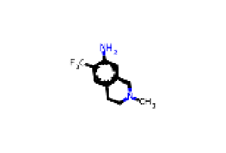 CN1CCc2cc(C(F)(F)F)c(N)cc2C1